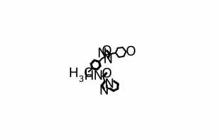 Cc1ccc(-c2noc(C3CCC(=O)CC3)n2)cc1NC(=O)c1cnc2ccccn12